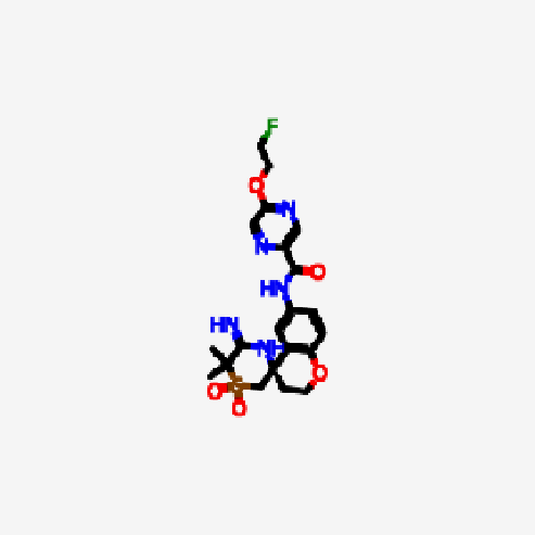 CC1(C)C(=N)N[C@@]2(CCOc3ccc(NC(=O)c4cnc(OCCF)cn4)cc32)CS1(=O)=O